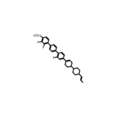 C/C=C/C1CCC(C2CC=C(c3ccc(-c4ccc(-c5ccc(CCCCCCCC)c(F)c5F)cc4)c(F)c3)CC2)CC1